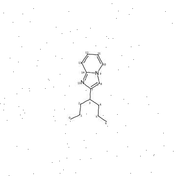 CCCC(CCC)c1cn2ccccc2n1